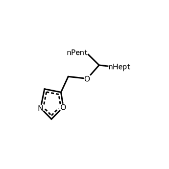 CCCCCCCC(CCCCC)OCc1cnco1